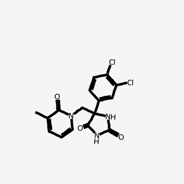 Cc1cccn(CC2(c3ccc(Cl)c(Cl)c3)NC(=O)NC2=O)c1=O